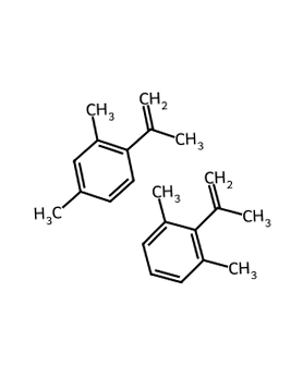 C=C(C)c1c(C)cccc1C.C=C(C)c1ccc(C)cc1C